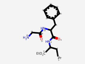 CCOC(=O)C(CC(C)C)NC(=O)C(Cc1ccccc1)NC(=O)CN